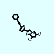 Clc1cc(Cl)c2nc(-c3ccc(C#Cc4ccccc4)s3)[c]n2c1